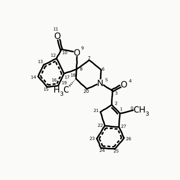 CC1=C(C(=O)N2CCC3(OC(=O)c4ccccc43)[C@@H](C)C2)Cc2ccccc21